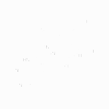 CC(C)c1nn(CC(=O)Nc2ncncc2F)c(=O)cc1-c1cc(F)cc(I)c1